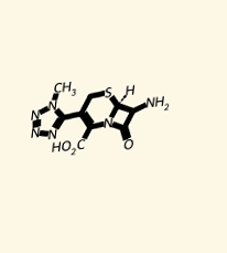 Cn1nnnc1C1=C(C(=O)O)N2C(=O)C(N)[C@@H]2SC1